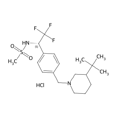 CC(C)(C)C1CCCN(Cc2ccc([C@H](NS(C)(=O)=O)C(F)(F)F)cc2)C1.Cl